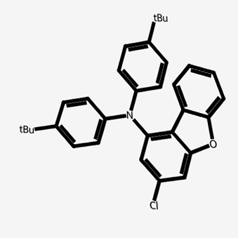 CC(C)(C)c1ccc(N(c2ccc(C(C)(C)C)cc2)c2cc(Cl)cc3oc4ccccc4c23)cc1